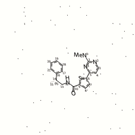 CNc1nccc(-c2ccc(C(=O)NC[C@H](C)c3ccccc3)s2)n1